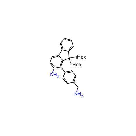 CCCCCCC1(CCCCCC)c2ccccc2-c2ccc(N)c(-c3ccc(CN)cc3)c21